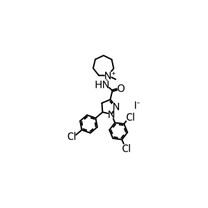 C[N+]1(NC(=O)C2=NN(c3ccc(Cl)cc3Cl)C(c3ccc(Cl)cc3)C2)CCCCCC1.[I-]